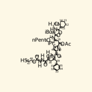 CCCCCOCN(C(=O)[C@@H](NC(=O)[C@H]1CCCCN1C)C(C)CC)[C@H](C[C@@H](OC(C)=O)c1nc(C(=O)N[C@@H](Cc2ccccc2)C[C@H](C)C(=O)NNC(=O)OCCS)cs1)C(C)C